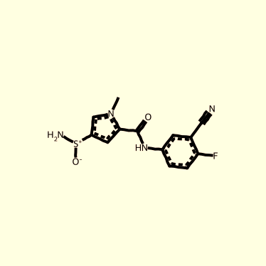 Cn1cc([S+](N)[O-])cc1C(=O)Nc1ccc(F)c(C#N)c1